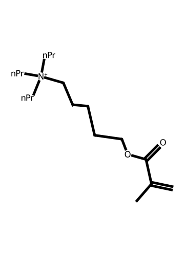 C=C(C)C(=O)OCCC[CH]C[N+](CCC)(CCC)CCC